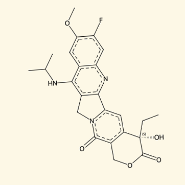 CC[C@@]1(O)C(=O)OCc2c1cc1n(c2=O)Cc2c-1nc1cc(F)c(OC)cc1c2NC(C)C